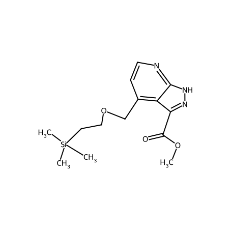 COC(=O)c1n[nH]c2nccc(COCC[Si](C)(C)C)c12